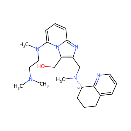 CN(C)CCN(C)c1cccc2nc(CN(C)[C@H]3CCCc4cccnc43)c(CO)n12